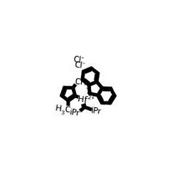 CC1=[C]([Hf+2](=[C](C(C)C)C(C)C)[CH]2c3ccccc3-c3ccccc32)C(C)C=C1.[Cl-].[Cl-]